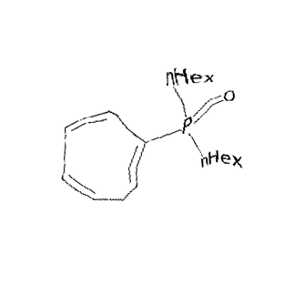 CCCCCCP(=O)(CCCCCC)c1ccccc1